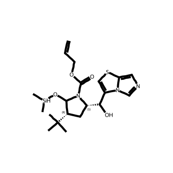 C=CCOC(=O)N1C(O[SiH](C)C)[C@@H](C(C)(C)C)C[C@H]1C(O)c1csc2cncn12